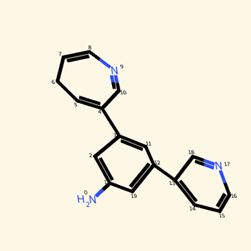 Nc1cc(C2=CCC=CN=C2)cc(-c2cccnc2)c1